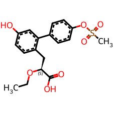 CCO[C@@H](Cc1ccc(O)cc1-c1ccc(OS(C)(=O)=O)cc1)C(=O)O